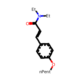 CCCCCOc1ccc(C=CC(=O)N(CC)CC)cc1